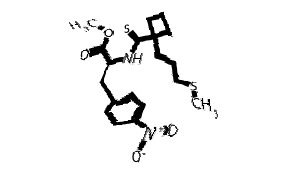 COC(=O)[C@H](Cc1ccc([N+](=O)[O-])cc1)NC(=S)C1(CCCSC)CCC1